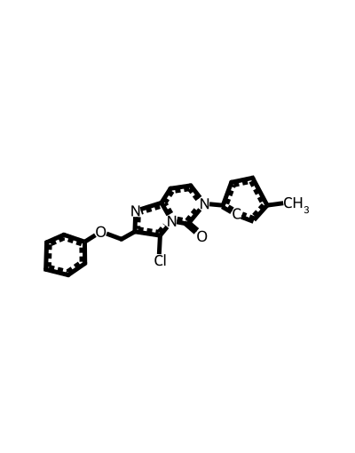 Cc1ccc(-n2ccc3nc(COc4ccccc4)c(Cl)n3c2=O)cc1